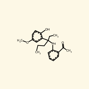 CCCC(CC)(Pc1ccccc1C(C)=O)c1cc(OC)ccc1O